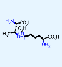 C[C@H](N)C(=O)O.NCC(=O)O.NCCCC[C@H](N)C(=O)O